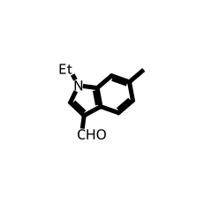 CCn1cc(C=O)c2ccc(C)cc21